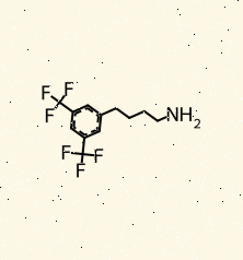 NCCCCc1cc(C(F)(F)F)cc(C(F)(F)F)c1